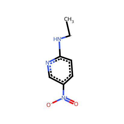 C[CH]Nc1ccc([N+](=O)[O-])cn1